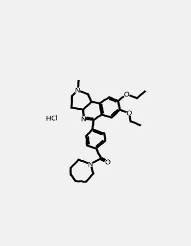 CCOc1cc2c(cc1OCC)C1CN(C)CCC1N=C2c1ccc(C(=O)N2CCCCCC2)cc1.Cl